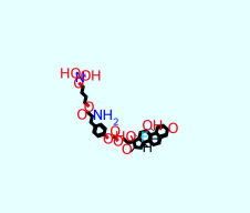 C[C@@H]1C[C@H]2[C@@H]3CCC4=CC(=O)C=C[C@]4(C)C3(F)[C@@H](O)C[C@]2(C)[C@@]1(O)C(=O)COC(=O)Oc1ccc(C[C@H](N)C(=O)OCCCCON(O)O)cc1